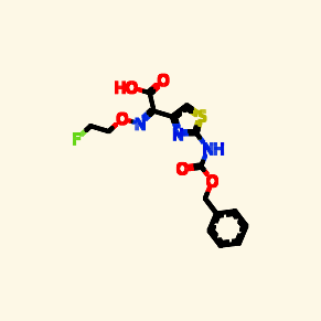 O=C(Nc1nc(C(=NOCCF)C(=O)O)cs1)OCc1ccccc1